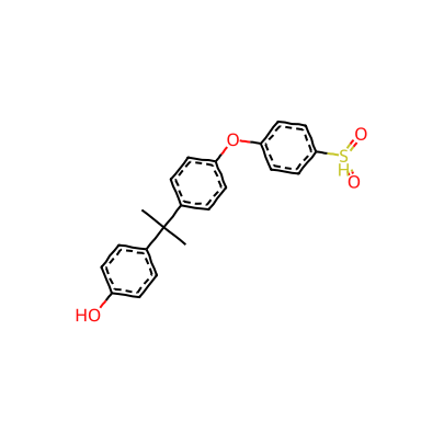 CC(C)(c1ccc(O)cc1)c1ccc(Oc2ccc([SH](=O)=O)cc2)cc1